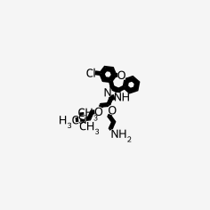 C[Si](C)(C)CCOCC(OCCCN)c1nc2c([nH]1)-c1ccccc1Oc1ccc(Cl)cc1-2